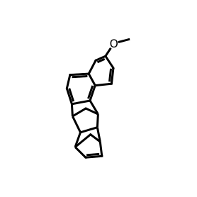 COc1ccc2c3c(ccc2c1)C1CC3C2C3C=CC(C3)C12